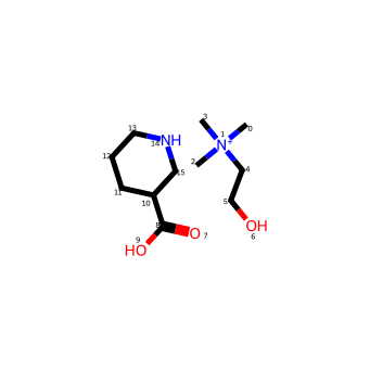 C[N+](C)(C)CCO.O=C(O)C1CCCNC1